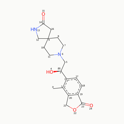 Cc1c([C@@H](O)CN2CCC3(CC2)CNC(=O)C3)ccc2c1COC2=O